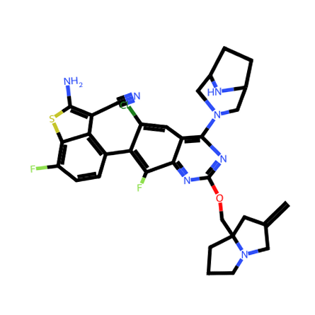 C=C1CN2CCCC2(COc2nc(N3CC4CCC(C3)N4)c3cc(Cl)c(-c4ccc(F)c5sc(N)c(C#N)c45)c(F)c3n2)C1